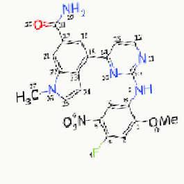 COc1cc(F)c([N+](=O)[O-])cc1Nc1nccc(-c2cc(C(N)=O)cc3c2ccn3C)n1